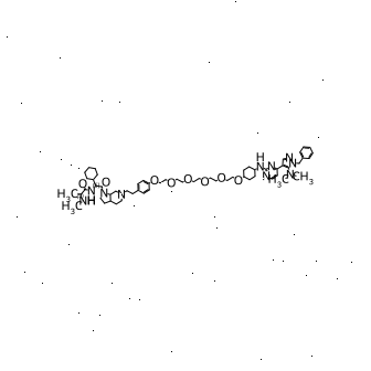 CN[C@@H](C)C(=O)N[C@H](C(=O)N1CCC2CCN(CCc3ccc(OCCOCCOCCOCCOCCO[C@H]4CC[C@H](Nc5nccc(-c6cnn(Cc7ccccc7)c6N(C)C)n5)CC4)cc3)CC21)C1CCCCC1